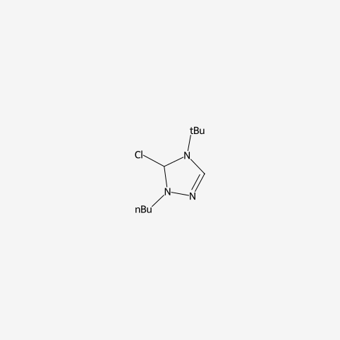 CCCCN1N=CN(C(C)(C)C)C1Cl